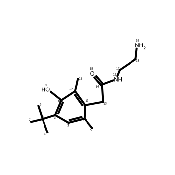 Cc1cc(C(C)(C)C)c(O)c(C)c1CC(=O)NCCN